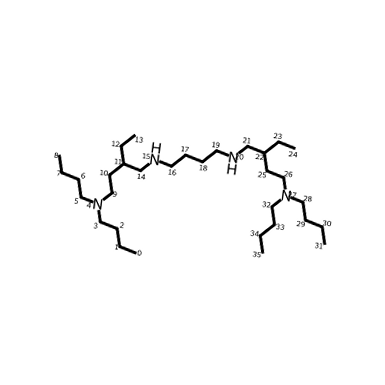 CCCCN(CCCC)CCC(CC)CNCCCCNCC(CC)CCN(CCCC)CCCC